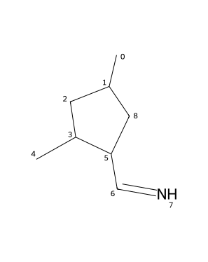 CC1CC(C)C(C=N)C1